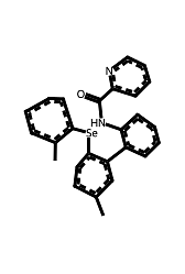 Cc1ccc([Se]c2ccccc2C)c(-c2ccccc2NC(=O)c2ccccn2)c1